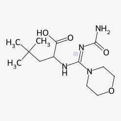 CC(C)(C)CC(N/C(=N/C(N)=O)N1CCOCC1)C(=O)O